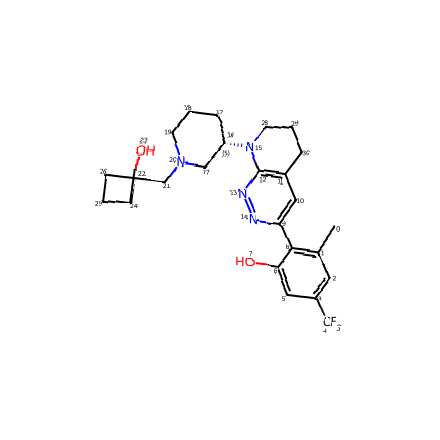 Cc1cc(C(F)(F)F)cc(O)c1-c1cc2c(nn1)N([C@H]1CCCN(CC3(O)CCC3)C1)CCC2